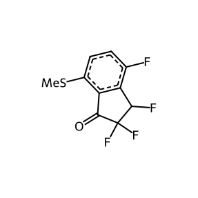 CSc1ccc(F)c2c1C(=O)C(F)(F)C2F